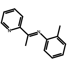 C/C(=N\c1ccccc1C)c1ccccn1